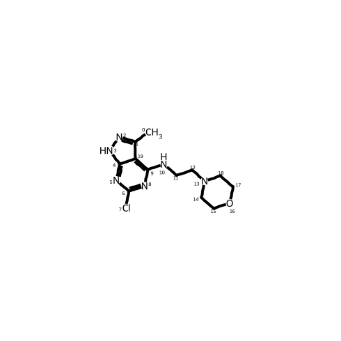 Cc1n[nH]c2nc(Cl)nc(NCCN3CCOCC3)c12